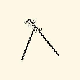 CCCCCCCCCCC=CCCCCCCCC(=O)OCC(COC(=O)C1CCC(=O)N1)OC(=O)CCCCCCCC=CCCCCCCCCCC